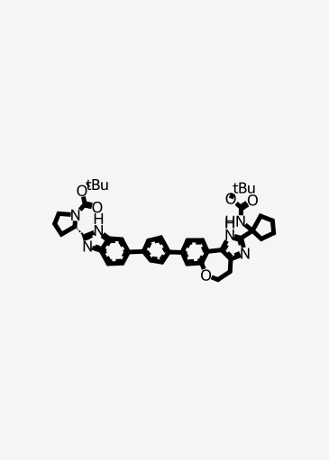 CC(C)(C)OC(=O)NC1(c2nc3c([nH]2)-c2ccc(-c4ccc(-c5ccc6nc([C@@H]7CCCN7C(=O)OC(C)(C)C)[nH]c6c5)cc4)cc2OCC3)CCCC1